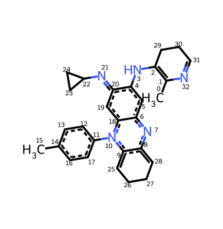 CC1=C(Nc2cc3nc4c(n(-c5ccc(C)cc5)c-3c/c2=N\C2CC2)=CCCC=4)CCC=N1